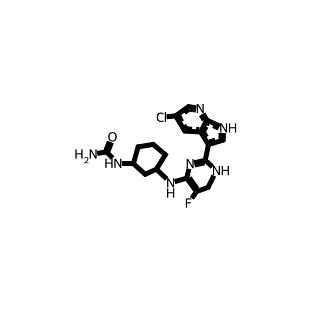 NC(=O)NC1CCCC(NC2=C(F)CNC(c3c[nH]c4ncc(Cl)cc34)=N2)C1